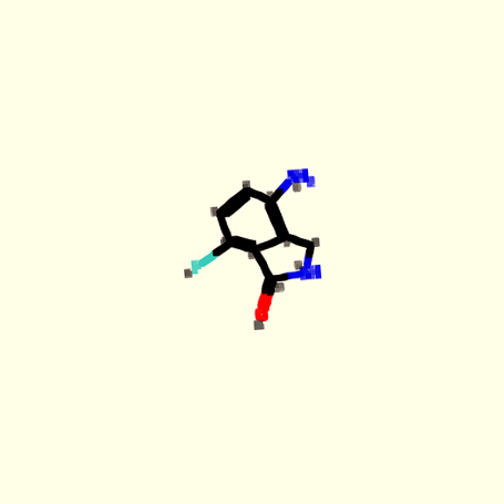 Nc1ccc(F)c2c1CNC2=O